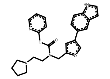 O=C(Oc1ccccn1)N(CCN1CCCC1)Cc1cc(-c2ccc3[nH]ccc3c2)co1